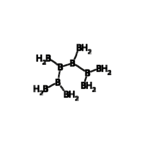 BB(B)B(B)B(B)B(B)B